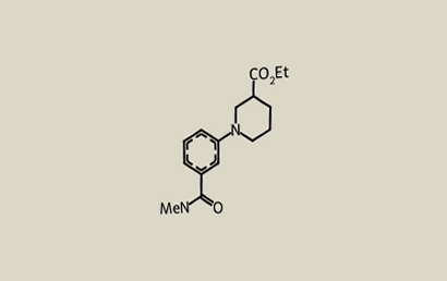 CCOC(=O)C1CCCN(c2cccc(C(=O)NC)c2)C1